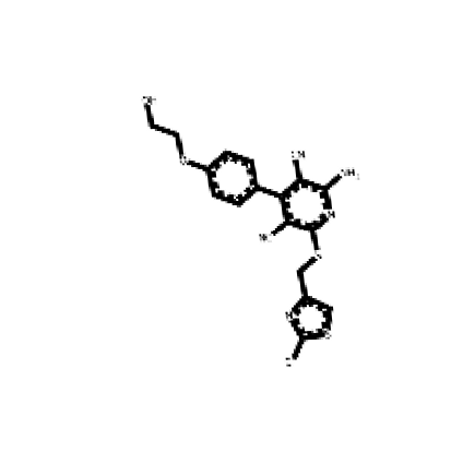 N#Cc1c(N)nc(SCc2csc(Cl)n2)c(C#N)c1-c1ccc(OCCO)cc1